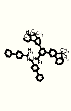 C=C(/N=C(\N=C(/CC)c1cc(-c2ccc3c(c2)-c2ccccc2C3(C)C)cc(-c2ccc3c(c2)-c2ccccc2C3(C)C)c1)c1ccc(-c2ccccc2)cc1)c1ccc(-c2ccccc2)cc1